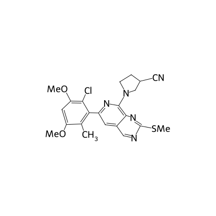 COc1cc(OC)c(Cl)c(-c2cc3cnc(SC)nc3c(N3CCC(C#N)C3)n2)c1C